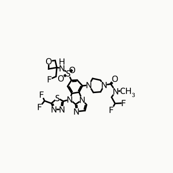 CN(CC(F)F)C(=O)N1CCN(c2cc(S(=O)(=O)NC3(CF)COC3)cc3c2n2ccnc2n3-c2nnc(C(F)F)s2)CC1